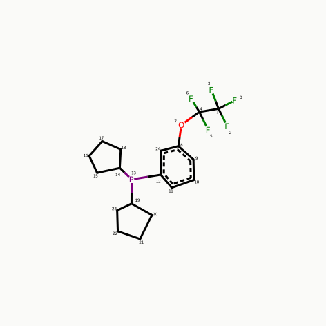 FC(F)(F)C(F)(F)Oc1cccc(P(C2CCCC2)C2CCCC2)c1